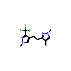 Cc1cn(C)nc1CCc1cn(C)nc1C(F)(F)F